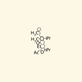 CCCC(CC1CC(=O)c2c(C)c(CCC3(C)CCCC3)cc(C(C)C)c2C1)C(CC)C(=O)CC(C)=O